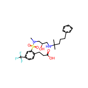 CN(C[C@H](O)CNC(C)(C)CCCc1ccccc1)S(=O)(=O)c1cc(C(F)(F)F)ccc1CCC(=O)O